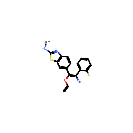 C=CO/C(=C(\N)c1ccccc1F)c1ccc2nc(NCCC)sc2c1